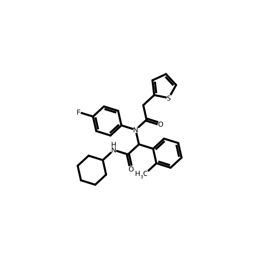 Cc1ccccc1C(C(=O)NC1CCCCC1)N(C(=O)Cc1cccs1)c1ccc(F)cc1